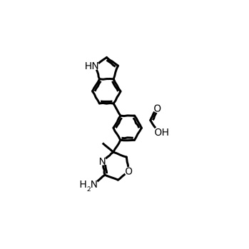 CC1(c2cccc(-c3ccc4[nH]ccc4c3)c2)COCC(N)=N1.O=CO